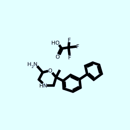 CC1(c2cccc(-c3ccccc3)c2)CNCC(N)O1.O=C(O)C(F)(F)F